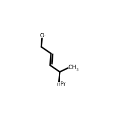 CCCC(C)C=CC[O]